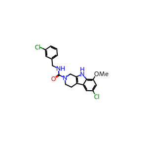 COc1cc(Cl)cc2c3c([nH]c12)CN(C(=O)NCc1cccc(Cl)c1)CC3